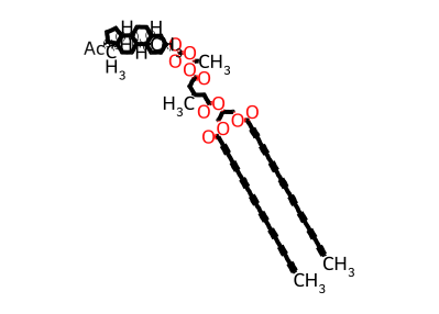 CC#CC#CC#CC#CC#CC#CC#CC#CC(=O)OCC(COC(=O)C#CC#CC#CC#CC#CC#CC#CC#CC)OC(=O)CC(C)CC(=O)OC(C)OC(=O)O[C@@H]1CC[C@@]2(C)[C@@H](CC[C@@H]3[C@@H]2CC[C@]2(C)[C@@H](C(C)=O)CC[C@@H]32)C1